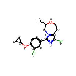 CC1Cn2c(-c3ccc(OC4CC4)c(Cl)c3)nc(Br)c2CCO1